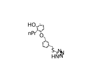 CCCc1c(O)[c]ccc1OCc1cccc(CSc2nnn[nH]2)c1